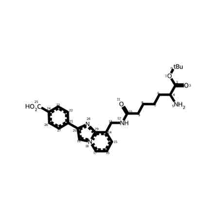 CC(C)(C)OC(=O)C(N)CCCCC(=O)NCc1cccn2cc(-c3ccc(C(=O)O)cc3)nc12